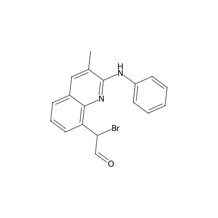 Cc1cc2cccc(C(Br)C=O)c2nc1Nc1ccccc1